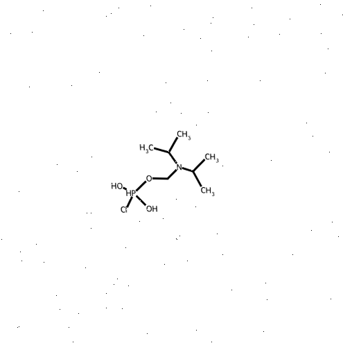 CC(C)N(CO[PH](O)(O)Cl)C(C)C